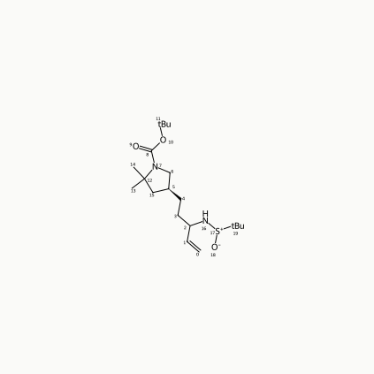 C=CC(CC[C@@H]1CN(C(=O)OC(C)(C)C)C(C)(C)C1)N[S+]([O-])C(C)(C)C